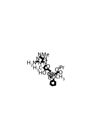 CNc1nc(N)nc2c1ncn2[C@@H]1OC(COP(=O)(N[C@@H](C)C(=O)OC(C)C)Oc2ccccc2)[C@@H](O)[C@@H]1C